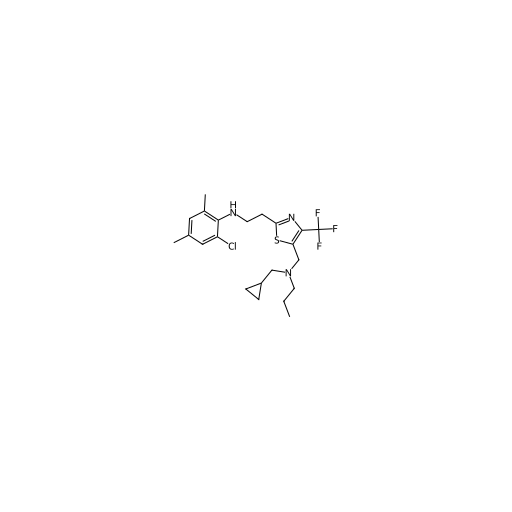 CCCN(Cc1sc(CCNc2c(C)cc(C)cc2Cl)nc1C(F)(F)F)CC1CC1